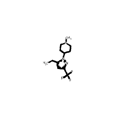 CCc1cc(C(F)(F)F)nn1C1CCN(C)CC1